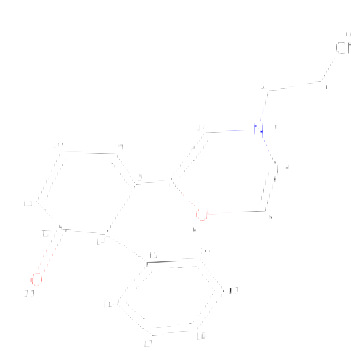 N#CCCN1C=COC(C2=CC=CC(=O)C2c2ccccc2)=C1